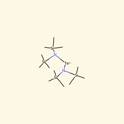 C[Si](C)(C)N([Te+]N([Si](C)(C)C)[Si](C)(C)C)[Si](C)(C)C